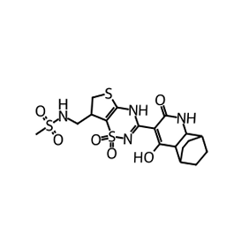 CS(=O)(=O)NCC1CSC2=C1S(=O)(=O)N=C(C1=C(O)C3C4CCC(CC4)C3NC1=O)N2